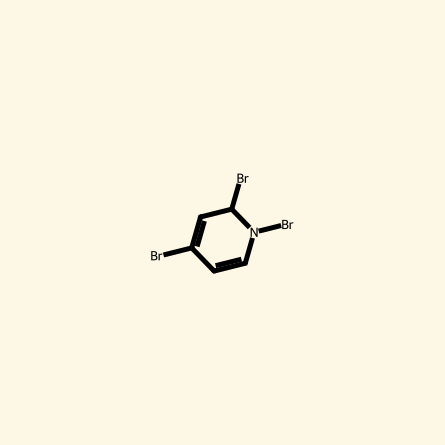 BrC1=CC(Br)N(Br)C=C1